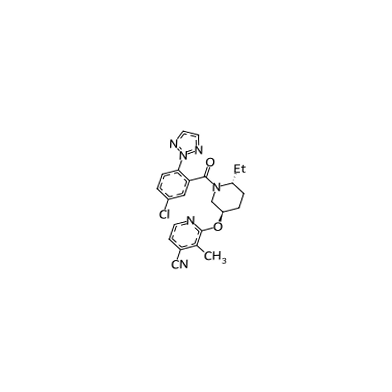 CC[C@@H]1CC[C@@H](Oc2nccc(C#N)c2C)CN1C(=O)c1cc(Cl)ccc1-n1nccn1